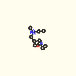 c1ccc(-c2ccc(-c3nc(-c4ccccc4)nc(-c4cccc(-c5cccc(-c6cccc7nc(-c8cccc9ccccc89)c8oc9ccccc9c8c67)c5)c4)n3)cc2)cc1